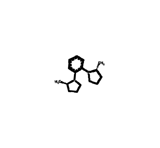 C[C@@H]1CCCP1c1ccccc1P1CCC[C@H]1C